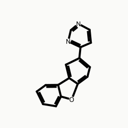 c1ccc2c(c1)oc1ccc(-c3ccncn3)cc12